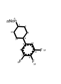 CCCCCCCCCC1CCC(c2cc(F)c(F)c(F)c2)CC1